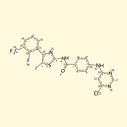 Cc1sc(NC(=O)c2ccc(Nc3cc(Cl)ncn3)cc2)nc1-c1cccc(C(F)(F)F)c1F